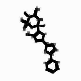 CN1C(=N)N[C@](C)(c2sc(-c3nnc(-c4ncccn4)o3)cc2Cl)CS1(=O)=O